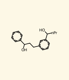 CCCC(O)c1cccc(CCC(O)c2ccccc2)c1